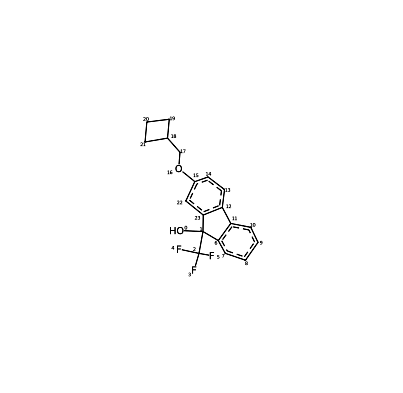 OC1(C(F)(F)F)c2ccccc2-c2ccc(OCC3CCC3)cc21